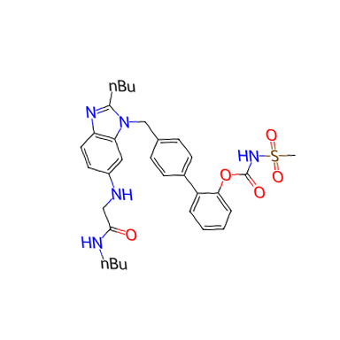 CCCCNC(=O)CNc1ccc2nc(CCCC)n(Cc3ccc(-c4ccccc4OC(=O)NS(C)(=O)=O)cc3)c2c1